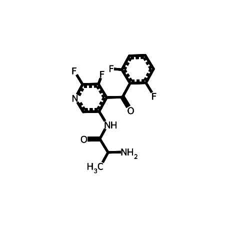 CC(N)C(=O)Nc1cnc(F)c(F)c1C(=O)c1c(F)cccc1F